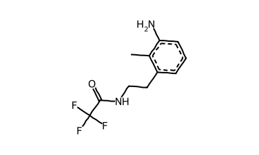 Cc1c(N)cccc1CCNC(=O)C(F)(F)F